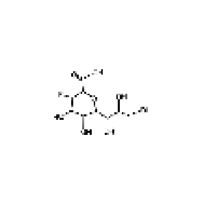 O=C(O)C1OC(C(O)C(O)CO)C(O)C(O)C1F